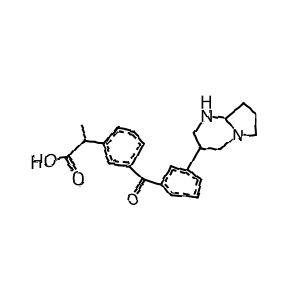 CC(C(=O)O)c1cccc(C(=O)c2cccc(C3CNC4CCCN4C3)c2)c1